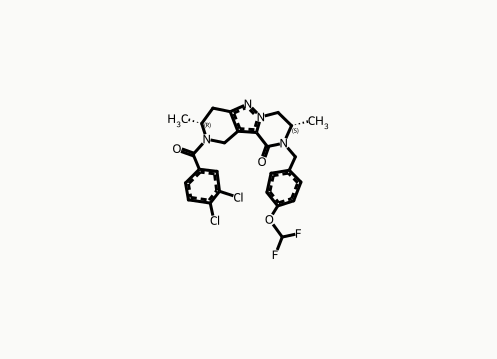 C[C@@H]1Cc2nn3c(c2CN1C(=O)c1ccc(Cl)c(Cl)c1)C(=O)N(Cc1ccc(OC(F)F)cc1)[C@@H](C)C3